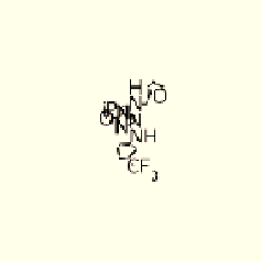 CC(C)Oc1nc(NCc2ccco2)nc(Nc2cccc(C(F)(F)F)c2)n1